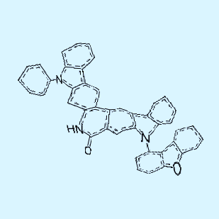 O=c1[nH]c2cc3c(cc2c2cc4c5ccccc5n(-c5cccc6oc7ccccc7c56)c4cc12)c1ccccc1n3-c1ccccc1